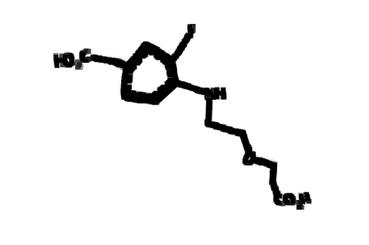 O=C(O)COCCNc1ccc(C(=O)O)cc1F